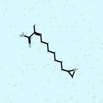 CC(=CCCCCCCCC1CO1)C(=O)O